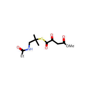 CCC(=O)NCC(C)(C)SC(=O)C(=O)CC(=O)OC